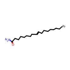 CC(C)CCCCCCCC=CCCCCCCCC(N)=O